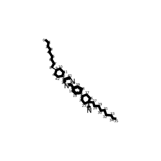 CCCCCCCCC[C@H]1CC[C@H](c2cnc(-c3ccc([C@H]4CC[C@@](C#N)(CCCCCCCCC)CC4)cc3)nc2)CC1